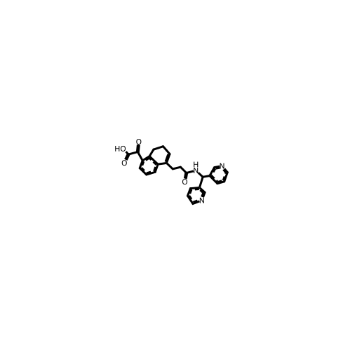 O=C(CCC1=CCCc2c(C(=O)C(=O)O)cccc21)NC(c1cccnc1)c1cccnc1